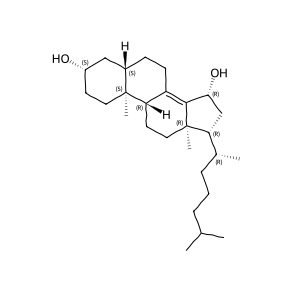 CC(C)CCC[C@@H](C)[C@H]1C[C@@H](O)C2=C3CC[C@H]4C[C@@H](O)CC[C@]4(C)[C@H]3CC[C@@]21C